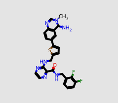 CN1C=Nc2ccc(-c3ccc(CNc4nccnc4C(=O)NCc4cccc(F)c4F)s3)cc2C1N